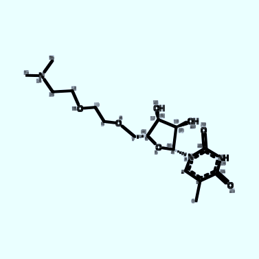 Cc1cn([C@@H]2O[C@H](COCCOCCN(C)C)[C@@H](O)[C@H]2O)c(=O)[nH]c1=O